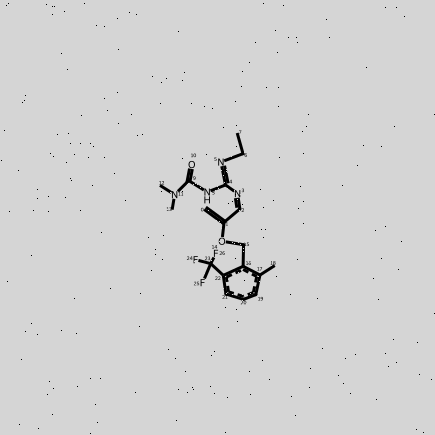 C=C(/C=N\C(=N/CC)NC(=O)N(C)C)OCc1c(C)cccc1C(F)(F)F